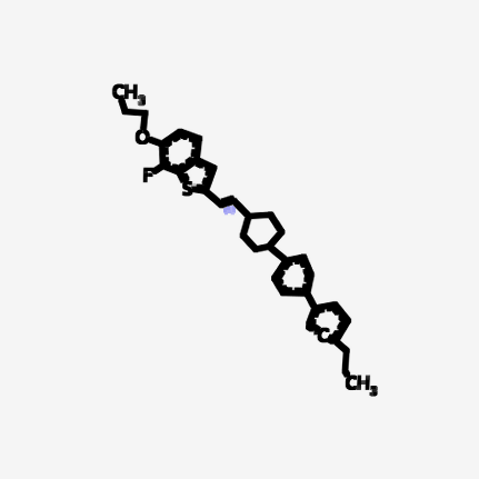 CCCOc1ccc2cc(/C=C/C3CCC(c4ccc(-c5ccc(CCC)cc5)cc4)CC3)sc2c1F